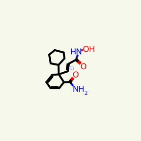 NC(=O)C1C=CC=CC1(/C=C/C(=O)NO)C1CCCCC1